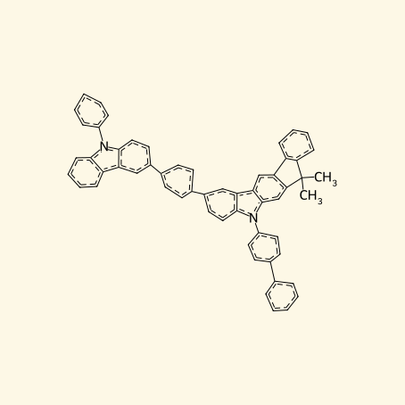 CC1(C)c2ccccc2-c2cc3c4cc(-c5ccc(-c6ccc7c(c6)c6ccccc6n7-c6ccccc6)cc5)ccc4n(-c4ccc(-c5ccccc5)cc4)c3cc21